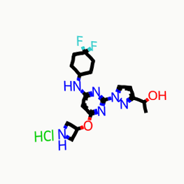 CC(O)c1ccn(-c2nc(NC3CCC(F)(F)CC3)cc(OC3CNC3)n2)n1.Cl